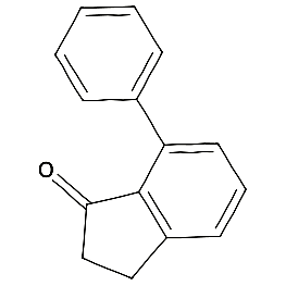 O=C1CCc2cccc(-c3ccccc3)c21